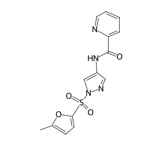 Cc1ccc(S(=O)(=O)n2cc(NC(=O)c3ccccn3)cn2)o1